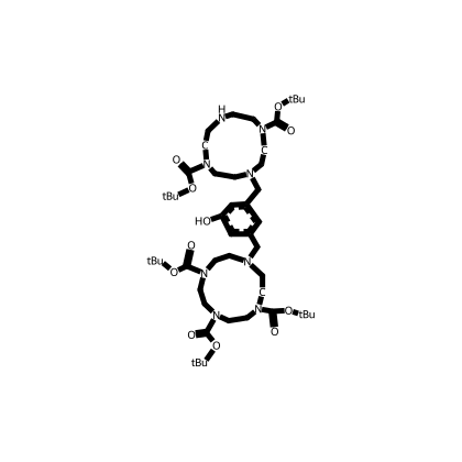 CC(C)(C)OC(=O)N1CCNCCN(C(=O)OC(C)(C)C)CCN(Cc2cc(O)cc(CN3CCN(C(=O)OC(C)(C)C)CCN(C(=O)OC(C)(C)C)CCN(C(=O)OC(C)(C)C)CC3)c2)CC1